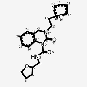 O=C(NCC1CCCO1)N1C(=O)N(CCc2ccccn2)Cc2ccccc21